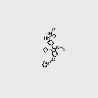 Nc1c(-c2ccc(NC(=O)NC3CCC3)cc2)n(C2CCC2)c2cc(OCCn3cccn3)ccc12